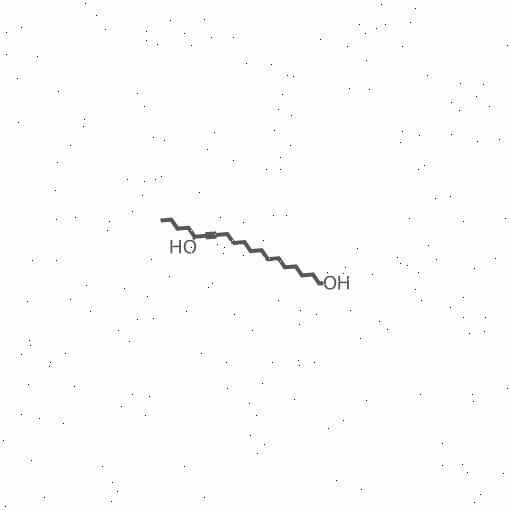 CCCC[C@H](O)C#CCCCCCCCCCCCCO